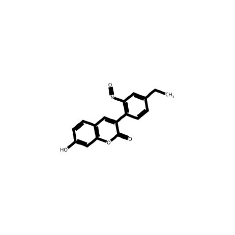 CCc1ccc(-c2cc3ccc(O)cc3oc2=O)c(N=O)c1